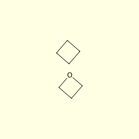 C1CCC1.C1COC1